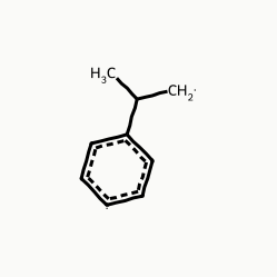 [CH2]C(C)c1cc[c]cc1